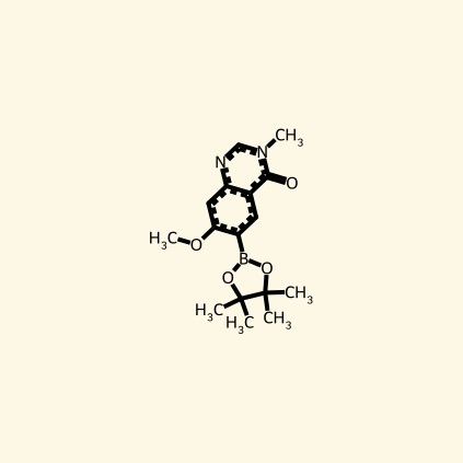 COc1cc2ncn(C)c(=O)c2cc1B1OC(C)(C)C(C)(C)O1